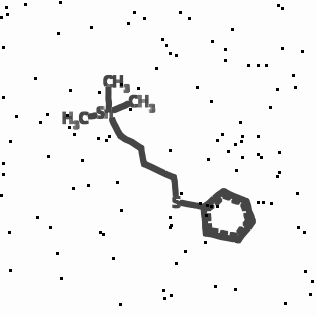 [CH3][Sn]([CH3])([CH3])[CH2]CCCSc1ccccc1